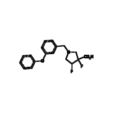 O=C(O)C1(F)CN(Cc2cccc(Oc3ccccc3)c2)CC1F